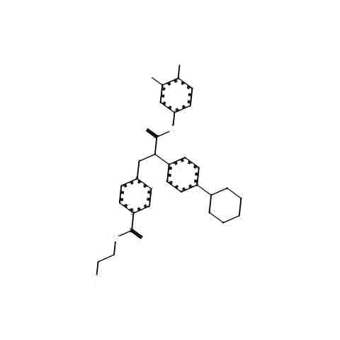 O=C(O)CCNC(=O)c1ccc(CC(C(=O)Nc2ccc(F)c(C(F)(F)F)c2)c2ccc(C3CCCCC3)cc2)cc1